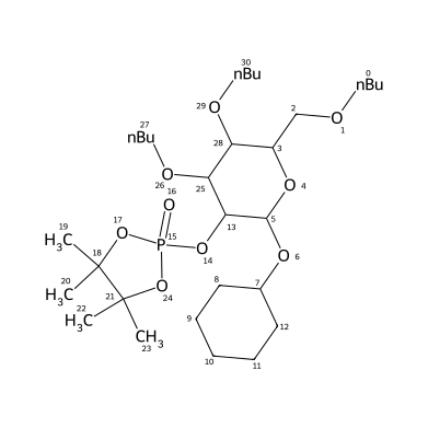 CCCCOCC1OC(OC2CCCCC2)C(OP2(=O)OC(C)(C)C(C)(C)O2)C(OCCCC)C1OCCCC